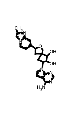 Cc1cn2ccc(C3CC4(CO3)CC(n3ccc5c(N)ncnc53)C(O)C4O)cc2n1